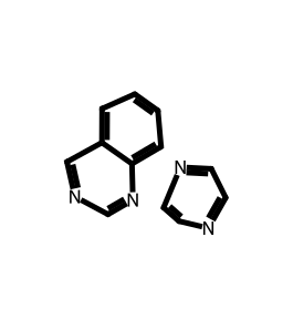 c1ccc2ncncc2c1.c1cnccn1